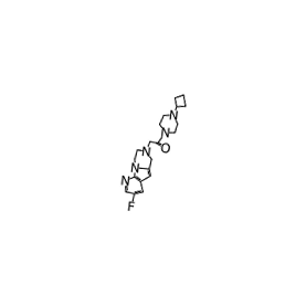 O=C(CN1CCn2c(cc3cc(F)cnc32)C1)N1CCN(C2CCC2)CC1